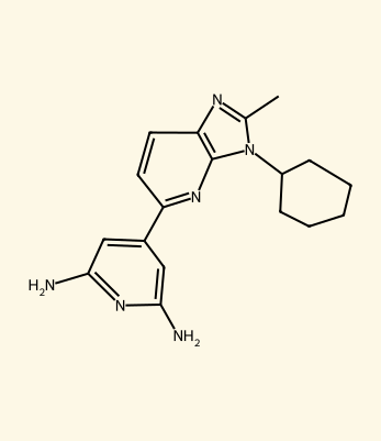 Cc1nc2ccc(-c3cc(N)nc(N)c3)nc2n1C1CCCCC1